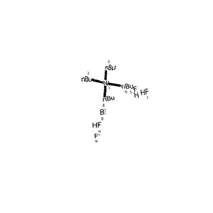 CCCC[N+](CCCC)(CCCC)CCCC.F.F.F.[B].[F-]